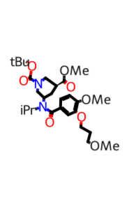 COCCCOc1cc(C(=O)N(C(C)C)C2C[C@H](C(=O)OC)CN(C(=O)OC(C)(C)C)C2)ccc1OC